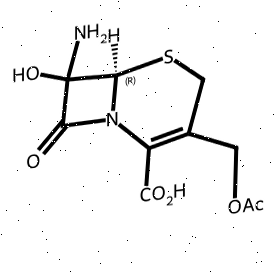 CC(=O)OCC1=C(C(=O)O)N2C(=O)C(N)(O)[C@H]2SC1